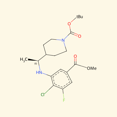 COC(=O)c1cc(F)c(Cl)c(N[C@@H](C)C2CCN(C(=O)OC(C)(C)C)CC2)c1